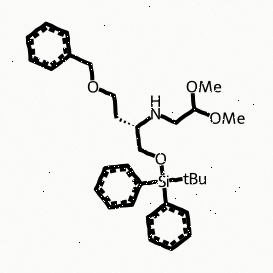 COC(CN[C@@H](CCOCc1ccccc1)CO[Si](c1ccccc1)(c1ccccc1)C(C)(C)C)OC